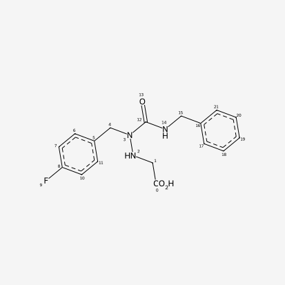 O=C(O)CNN(Cc1ccc(F)cc1)C(=O)NCc1ccccc1